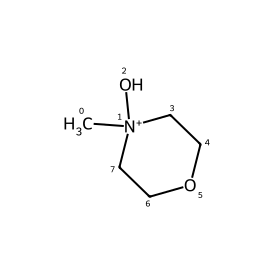 C[N+]1(O)CCOCC1